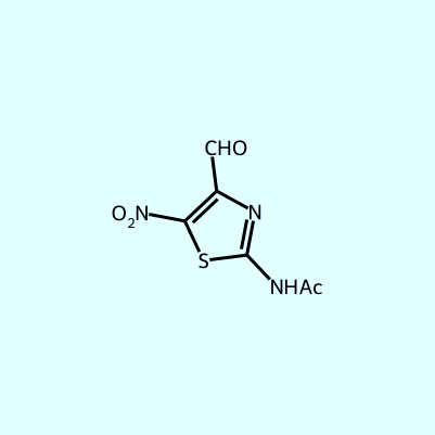 CC(=O)Nc1nc(C=O)c([N+](=O)[O-])s1